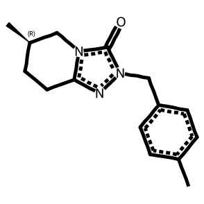 Cc1ccc(Cn2nc3n(c2=O)C[C@H](C)CC3)cc1